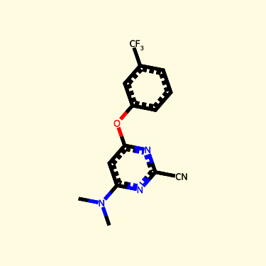 CN(C)c1cc(Oc2cccc(C(F)(F)F)c2)nc(C#N)n1